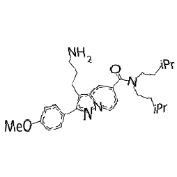 COc1ccc(-c2nn3ccc(C(=O)N(CCC(C)C)CCC(C)C)cc3c2CCCN)cc1